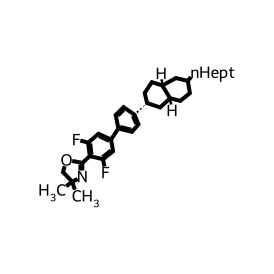 CCCCCCCC1CC[C@@H]2C[C@H](c3ccc(-c4cc(F)c(C5=NC(C)(C)CO5)c(F)c4)cc3)CC[C@@H]2C1